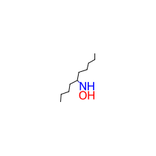 CCCCCC(CCCC)NO